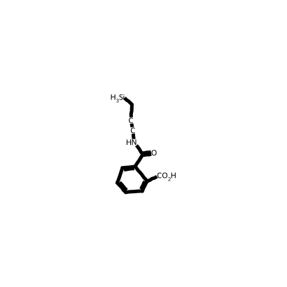 O=C(O)c1ccccc1C(=O)NCCC[SiH3]